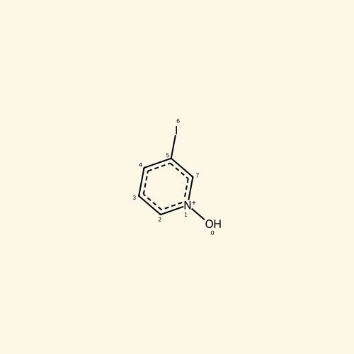 O[n+]1cccc(I)c1